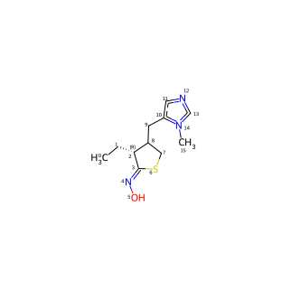 CC[C@H]1C(=NO)SCC1Cc1cncn1C